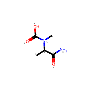 CC(C(N)=O)N(C)C(=O)O